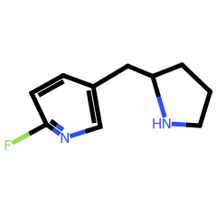 Fc1ccc(CC2CCCN2)cn1